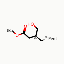 CCC[C@@H](C)C[C@H](CO)CC(=O)OC(C)(C)C